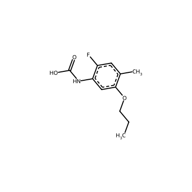 CCCOc1cc(NC(=O)O)c(F)cc1C